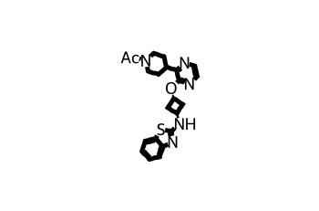 [CH2]C(=O)N1CCC(c2nccnc2O[C@H]2C[C@H](Nc3nc4ccccc4s3)C2)CC1